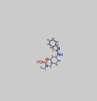 CCN(CC1CCC(Nc2nc3ccccc3s2)CC1)S(=O)O